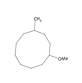 COC1CCCCCCC(C)CC1